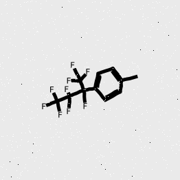 Cc1ccc(C(F)(C(F)(F)F)C(F)(F)C(F)(F)F)cc1